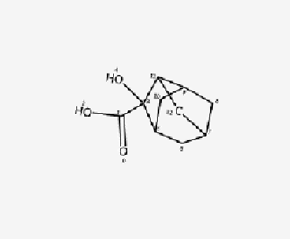 O=C(O)C1(O)C2CC3CC(C2)C1C3